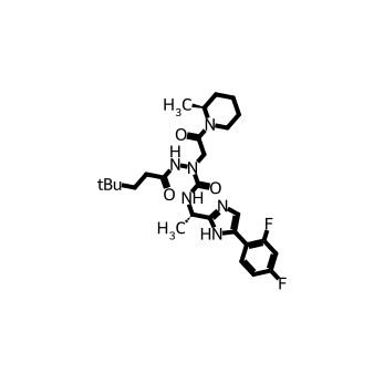 C[C@H](NC(=O)N(CC(=O)N1CCCC[C@@H]1C)NC(=O)CCC(C)(C)C)c1ncc(-c2ccc(F)cc2F)[nH]1